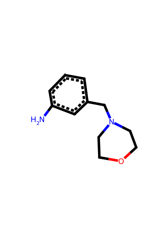 Nc1c[c]cc(CN2CCOCC2)c1